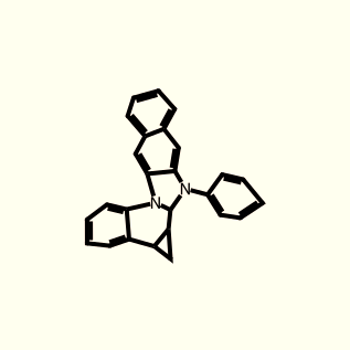 c1ccc(N2c3cc4ccccc4cc3N3c4ccccc4C4CC4C23)cc1